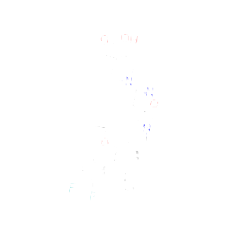 CCOc1cc(CN2CC3(CC(N4CCC(C)(C(=O)O)CC4)=NO3)C2)cc(C2CC2)c1-c1ccc(F)c(F)c1